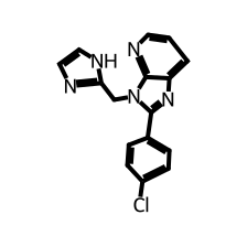 Clc1ccc(-c2nc3cccnc3n2Cc2ncc[nH]2)cc1